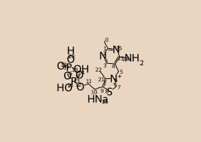 Cc1ncc(C[n+]2csc(CCOP(=O)(O)OP(=O)(O)O)c2C)c(N)n1.[NaH]